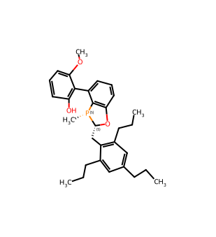 CCCc1cc(CCC)c(C[C@H]2Oc3cccc(-c4c(O)cccc4OC)c3[P@@]2C)c(CCC)c1